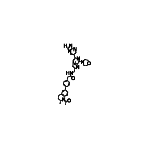 CC(=O)N1c2ccc(-c3ccc(CC(=O)NCc4cn5cc(-c6cnc(N)nc6)nc(N6CCOCC6)c5n4)cc3)cc2CC[C@@H]1C